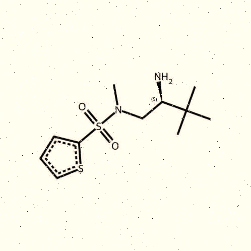 CN(C[C@@H](N)C(C)(C)C)S(=O)(=O)c1cccs1